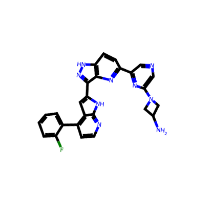 NC1CN(c2cncc(-c3ccc4[nH]nc(-c5cc6c(-c7ccccc7F)ccnc6[nH]5)c4n3)n2)C1